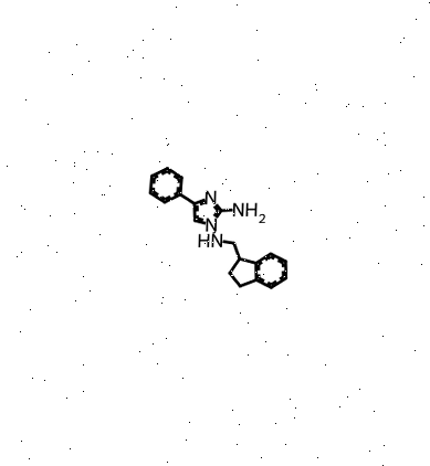 Nc1nc(-c2ccccc2)cn1NCC1CCc2ccccc21